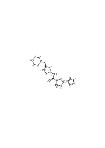 O=C(NC1CNN(CC2CCOCC2)C1)C1CC(c2ccco2)ON1